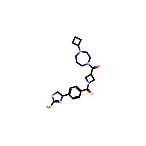 CC1=NC(c2ccc(C(=O)N3CC(C(=O)N4CCCN(C5CCC5)CC4)C3)cc2)CS1